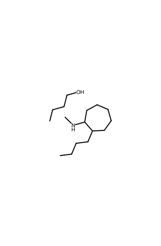 CCCCC1CCCCCC1NC.CCCCO